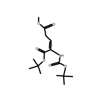 COC(=O)C/C=C(/NC(=O)OC(C)(C)C)C(=O)OC(C)(C)C